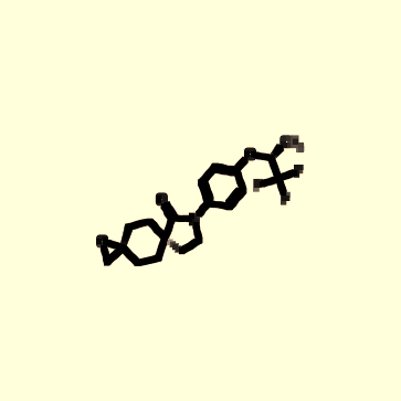 C[C@H](Oc1ccc(N2CC[C@]3(CC[C@@]4(CC3)CO4)C2=O)cc1)C(F)(F)F